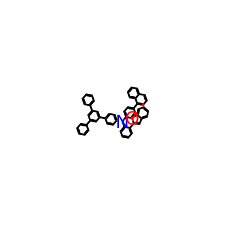 c1ccc(-c2cc(-c3ccccc3)cc(-c3ccc(N(c4ccc(-c5cccc6ccccc56)cc4)c4ccccc4-c4cc5ccccc5o4)cc3)c2)cc1